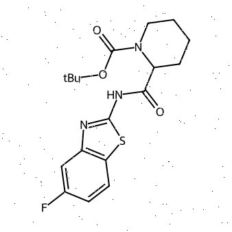 CC(C)(C)OC(=O)N1CCCCC1C(=O)Nc1nc2cc(F)ccc2s1